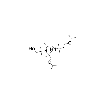 CC(C)OCCC(C)(C)NCC(C)N(C(C)(C)CO)C(C)(C)COC(C)C